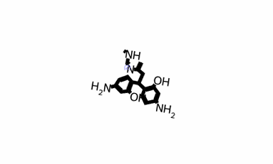 C=C(CC(c1ccc(N)cc1O)c1ccc(N)cc1O)/N=C\NC